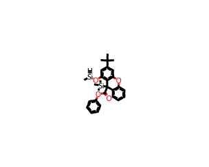 C[SiH](C)Oc1cc(C(C)(C)C)cc2c1C(C(=O)Oc1ccccc1)([Si](C)(C)C)c1ccccc1O2